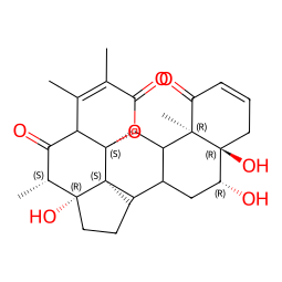 CC1=C(C)C2C(=O)[C@@H](C)[C@]3(O)CCC4C5C6C[C@@H](O)[C@@]7(O)CC=CC(=O)[C@]7(C)C6C[C@@]2(OC1=O)[C@@]453